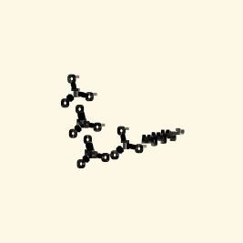 [Mg+2].[Mg+2].[Mg+2].[O]=[Nb](=[O])[O-].[O]=[Nb](=[O])[O-].[O]=[Ti]([O-])[O-].[O]=[Ti]([O-])[O-]